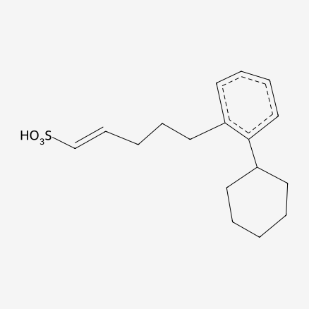 O=S(=O)(O)C=CCCCc1ccccc1C1CCCCC1